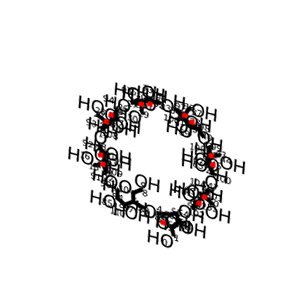 OCC1O[C@H]2O[C@@H]3C(CO)O[C@H](O[C@@H]4C(CO)O[C@H](O[C@@H]5C(CO)O[C@H](O[C@@H]6C(CO)O[C@H](O[C@@H]7C(CO)O[C@H](O[C@@H]8C(CO)O[C@H](O[C@@H]9C(CO)O[C@H](O[C@H](C2O)[C@@H]1O)C(O)[C@H]9O)C(O)[C@H]8O)C(O)[C@H]7O)C(O)[C@H]6O)C(O)[C@H]5O)C(O)[C@H]4O)C(O)[C@H]3O